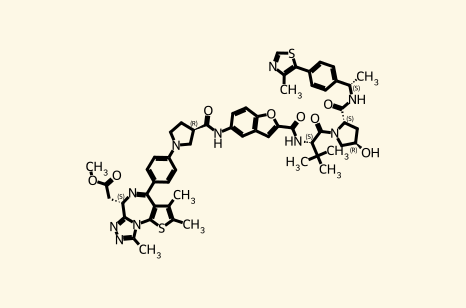 COC(=O)C[C@@H]1N=C(c2ccc(N3CC[C@@H](C(=O)Nc4ccc5oc(C(=O)N[C@H](C(=O)N6C[C@H](O)C[C@H]6C(=O)N[C@@H](C)c6ccc(-c7scnc7C)cc6)C(C)(C)C)cc5c4)C3)cc2)c2c(sc(C)c2C)-n2c(C)nnc21